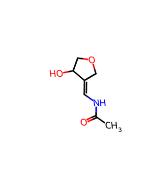 CC(=O)N/C=C1\COCC1O